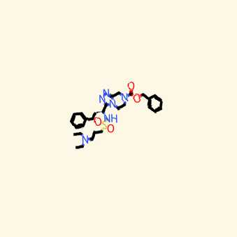 CCN(CC)CCCS(=O)(=O)N[C@H](CCc1ccccc1)c1nnc2n1CCN(C(=O)OCc1ccccc1)C2